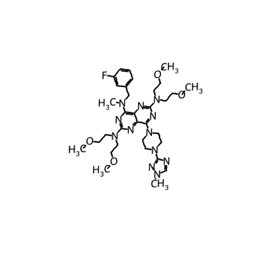 COCCN(CCOC)c1nc(N2CCN(c3ncn(C)n3)CC2)c2nc(N(CCOC)CCOC)nc(N(C)Cc3cccc(F)c3)c2n1